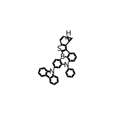 C1=C[C@@H]2C=C2c2c1sc1c2-c2cccc3c2B1c1ccc(-n2c4ccccc4c4ccccc42)cc1N3c1ccccc1